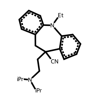 CCN1c2ccccc2CC(C#N)(CCN(C(C)C)C(C)C)c2ccccc21